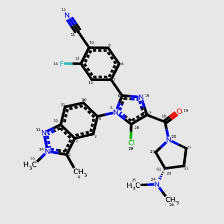 Cc1c2cc(-n3c(-c4ccc(C#N)c(F)c4)nc(C(=O)N4CC[C@H](N(C)C)C4)c3Cl)ccc2nn1C